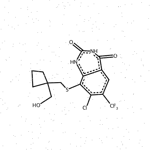 O=c1[nH]c(=O)c2cc(C(F)(F)F)c(Cl)c(SCC3(CO)CCC3)c2[nH]1